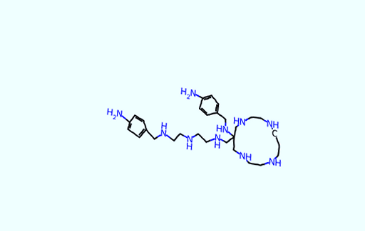 Nc1ccc(CNCCNCCNCC2(NCc3ccc(N)cc3)CNCCNCCCNCCNC2)cc1